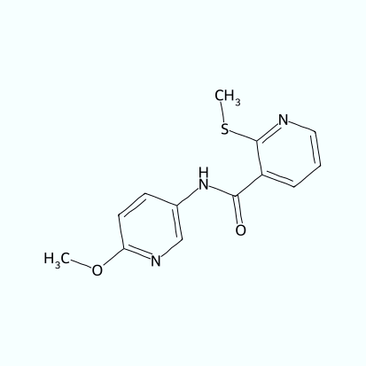 COc1ccc(NC(=O)c2cccnc2SC)cn1